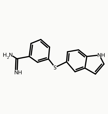 N=C(N)c1cccc(Sc2ccc3[nH]ccc3c2)c1